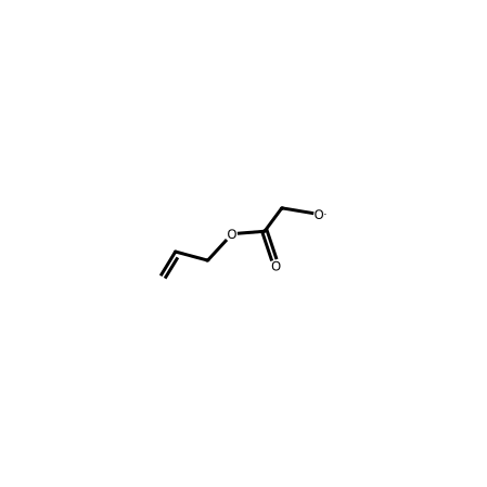 C=CCOC(=O)C[O]